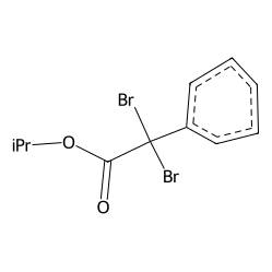 CC(C)OC(=O)C(Br)(Br)c1ccccc1